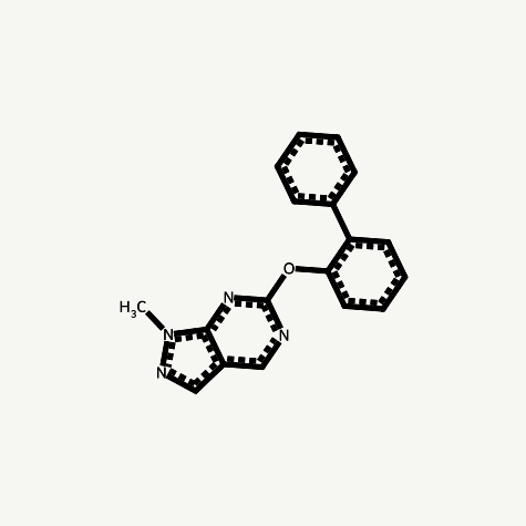 Cn1ncc2cnc(Oc3ccccc3-c3ccccc3)nc21